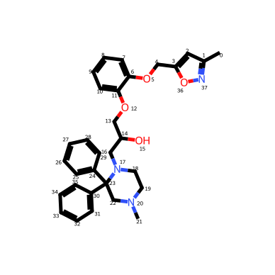 Cc1cc(COc2ccccc2OCC(O)CN2CCN(C)CC2(c2ccccc2)c2ccccc2)on1